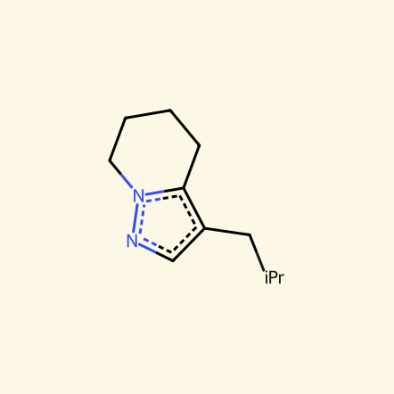 CC(C)Cc1cnn2c1CCCC2